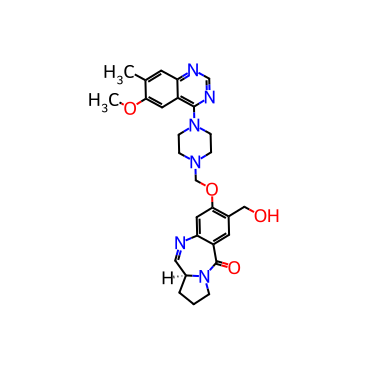 COc1cc2c(N3CCN(COc4cc5c(cc4CO)C(=O)N4CCC[C@H]4C=N5)CC3)ncnc2cc1C